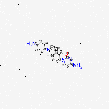 CCN(Cc1ccc(-n2ccc(N)nc2=O)cc1C(F)(F)F)C1CCC(N)CC1